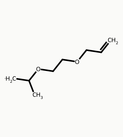 [CH2]C(C)OCCOCC=C